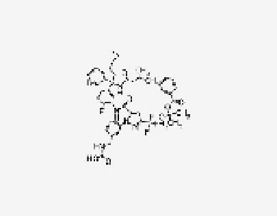 CC(C)(C)OC(=O)c1ccccc1.CC(C)CC(=O)NC(CCC1CC1)(c1cccnc1)c1ccc(F)c(NC(=O)c2cc(C(F)(F)F)nn2-c2cccc(CNC(=O)O)c2)c1